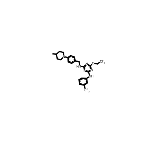 CC1CCN(c2ccc(CNc3nc(Nc4cccc(C(F)(F)F)c4)nc(OCC(F)(F)F)n3)cc2)CC1